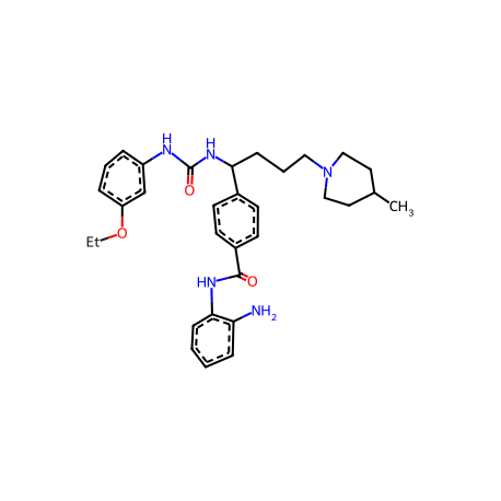 CCOc1cccc(NC(=O)NC(CCCN2CCC(C)CC2)c2ccc(C(=O)Nc3ccccc3N)cc2)c1